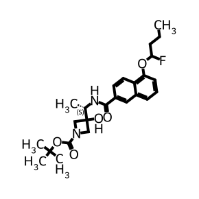 CCCC(F)Oc1cccc2cc(C(=O)N[C@@H](C)C3(O)CN(C(=O)OC(C)(C)C)C3)ccc12